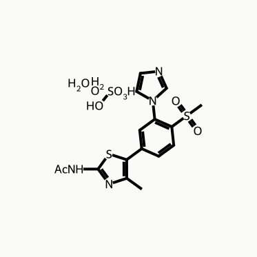 CC(=O)Nc1nc(C)c(-c2ccc(S(C)(=O)=O)c(-n3ccnc3)c2)s1.O.O.O=S(=O)(O)O